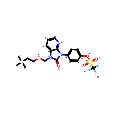 C[Si](C)(C)CCOCn1c(=O)n(-c2ccc(OS(=O)(=O)C(F)(F)F)cc2)c2ncccc21